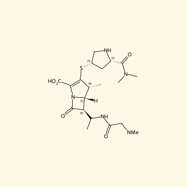 CNCC(=O)NC(C)[C@H]1C(=O)N2C(C(=O)O)=C(S[C@@H]3CN[C@H](C(=O)N(C)C)C3)[C@H](C)[C@H]12